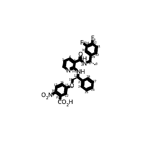 C[C@H](NC(=O)c1cccnc1N[C@H](COc1ccc([N+](=O)[O-])c(C(=O)O)c1)c1ccccc1)c1ccc(F)c(F)c1